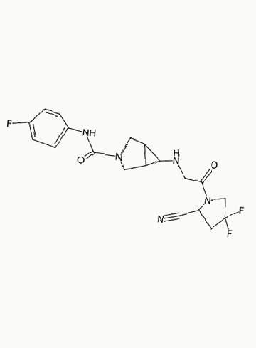 N#CC1CC(F)(F)CN1C(=O)CNC1C2CN(C(=O)Nc3ccc(F)cc3)CC21